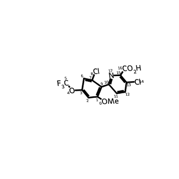 COc1cc(OC(F)(F)F)cc(Cl)c1-c1ccc(Cl)c(C(=O)O)n1